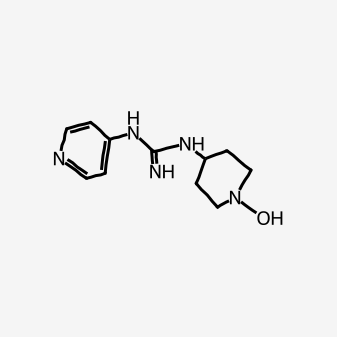 N=C(Nc1ccncc1)NC1CCN(O)CC1